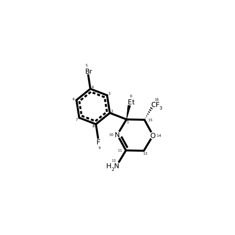 CC[C@]1(c2cc(Br)ccc2F)N=C(N)CO[C@H]1C(F)(F)F